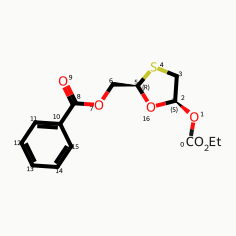 CCOC(=O)O[C@@H]1CS[C@H](COC(=O)c2ccccc2)O1